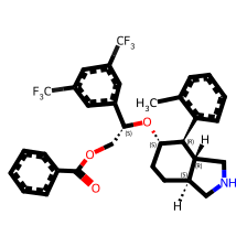 Cc1ccccc1[C@H]1[C@@H]2CNC[C@H]2CC[C@@H]1O[C@H](COC(=O)c1ccccc1)c1cc(C(F)(F)F)cc(C(F)(F)F)c1